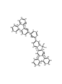 CC1(C)c2cc(-c3cccc(-c4ccc5c6ccccc6c6cccnc6c5n4)n3)ccc2-c2cc3c4ccccc4c4ccccc4c3nc21